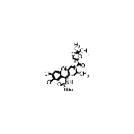 C[C@H]1C[C@H]([C@@H](N[S@@+]([O-])C(C)(C)C)c2cc(Cl)c(Cl)cc2O)CCN1C(=O)[C@H]1COC(C)(C)O1